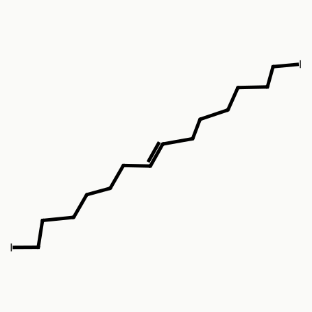 ICCCCCCC=CCCCCCCI